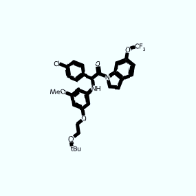 COc1cc(NC(C(=O)N2CCc3ccc(OC(F)(F)F)cc32)c2ccc(Cl)cc2)cc(OCCOC(C)(C)C)c1